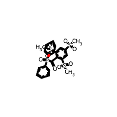 CS(=O)(=O)c1cc(S(C)(=O)=O)c(C(=O)P(=O)(c2ccccc2)c2ccccc2)c(S(C)(=O)=O)c1